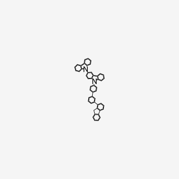 c1cc(-c2ccc(-n3c4ccccc4c4cc(-n5c6ccccc6c6ccccc65)ccc43)cc2)cc(-c2cccc3c2Cc2ccccc2-3)c1